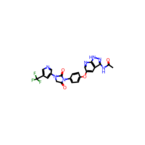 CC(=O)Nc1n[nH]c2ncc(Oc3ccc(N4C(=O)CN(c5cncc(C(F)(F)F)c5)C4=O)cc3)cc12